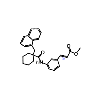 COC(=O)/C=C/c1cccc(NC(=O)C2(Cc3cccc4ccccc34)CCCCC2)c1